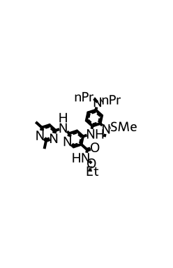 CCCN(CCC)c1ccc(Nc2cc(Nc3cc(C)nc(C)n3)ncc2C(=O)NOCC)c(N(C)SC)c1